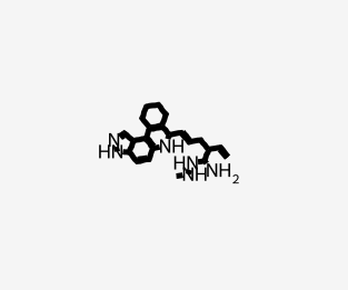 C=CC(C/C=C/C1NC2=C(C3=C1CCCC3)C1C=NNC1C=C2)C(N)NNC